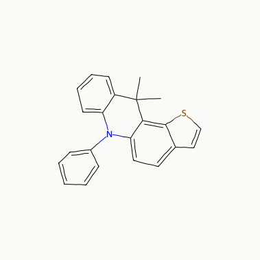 CC1(C)c2ccccc2N(c2ccccc2)c2ccc3ccsc3c21